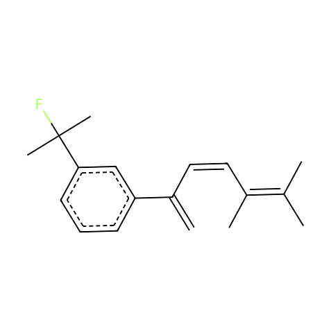 C=C(/C=C\C(C)=C(C)C)c1cccc(C(C)(C)F)c1